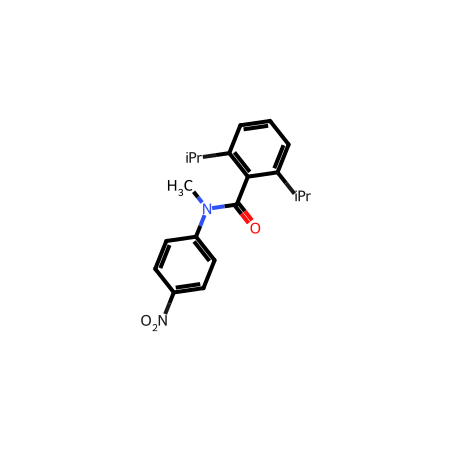 CC(C)c1cccc(C(C)C)c1C(=O)N(C)c1ccc([N+](=O)[O-])cc1